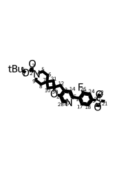 CC(C)(C)OC(=O)N1CCC2(CC1)CC1(Cc3cc(-c4ccc(S(C)(=O)=O)cc4F)ncc3O1)C2